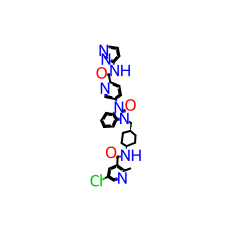 Cc1ncc(Cl)cc1C(=O)N[C@H]1CC[C@H](Cn2c(=O)n(-c3ccc(C(=O)Nc4cccnn4)nc3)c3ccccc32)CC1